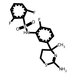 CC1(c2ccc(F)c(NS(=O)(=O)c3c(F)cccc3F)c2)CCSC(N)=N1